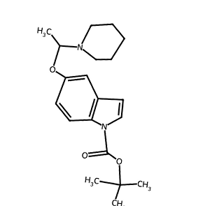 CC(Oc1ccc2c(ccn2C(=O)OC(C)(C)C)c1)N1CCCCC1